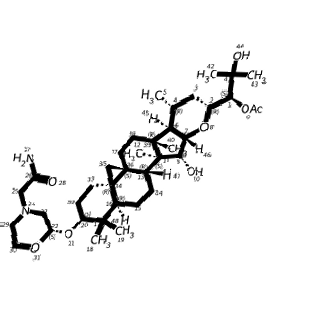 CC(=O)O[C@@H]([C@H]1C[C@@H](C)[C@H]2[C@H](O1)[C@H](O)[C@@]1(C)[C@@H]3CC[C@H]4C(C)(C)[C@@H](O[C@H]5CN(CC(N)=O)CCO5)CC[C@@]45C[C@@]35CC[C@]21C)C(C)(C)O